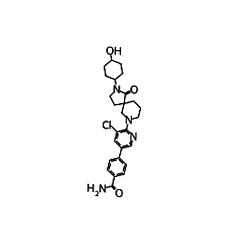 NC(=O)c1ccc(-c2cnc(N3CCCC4(CCN(C5CCC(O)CC5)C4=O)C3)c(Cl)c2)cc1